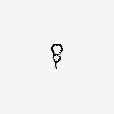 [2H]c1cn2ccccc2n1